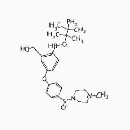 CN1CCN([S+]([O-])c2ccc(Oc3ccc(BOC(C)(C)C(C)(C)P)c(CO)c3)cc2)CC1